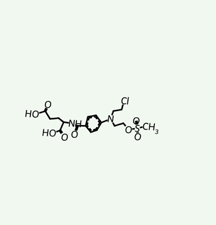 CS(=O)(=O)OCCN(CCCl)c1ccc(C(=O)NC(CCC(=O)O)C(=O)O)cc1